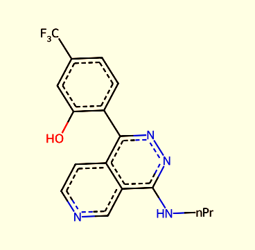 CCCNc1nnc(-c2ccc(C(F)(F)F)cc2O)c2ccncc12